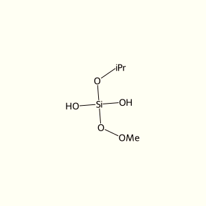 COO[Si](O)(O)OC(C)C